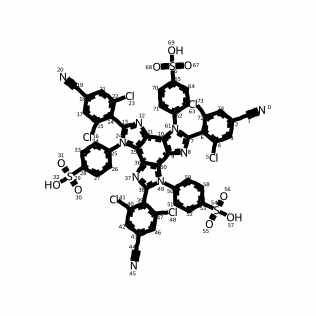 N#Cc1cc(Cl)c(-c2nc3c(c4nc(-c5c(Cl)cc(C#N)cc5Cl)n(-c5ccc(S(=O)(=O)O)cc5)c4c4nc(-c5c(Cl)cc(C#N)cc5Cl)n(-c5ccc(S(=O)(=O)O)cc5)c34)n2-c2ccc(S(=O)(=O)O)cc2)c(Cl)c1